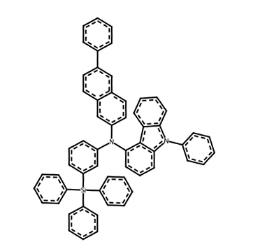 c1ccc(-c2ccc3cc(N(c4cccc([Si](c5ccccc5)(c5ccccc5)c5ccccc5)c4)c4cccc5c4c4ccccc4n5-c4ccccc4)ccc3c2)cc1